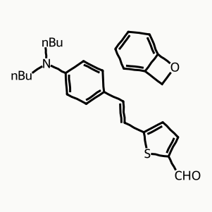 CCCCN(CCCC)c1ccc(C=Cc2ccc(C=O)s2)cc1.c1ccc2c(c1)CO2